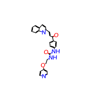 O=C(NCCOc1ccncc1)Nc1ccc(C(=O)C=Cc2ccc3ccccc3n2)cc1